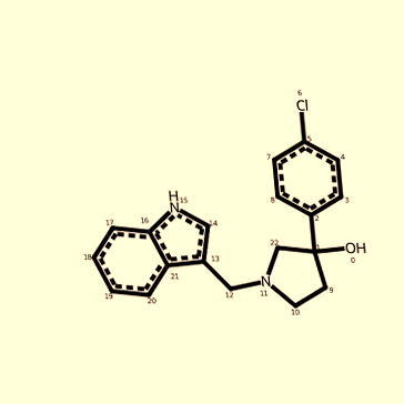 OC1(c2ccc(Cl)cc2)CCN(Cc2c[nH]c3ccccc23)C1